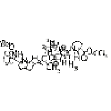 [2H]C([2H])([2H])C([2H])(C)[C@]([2H])(OC(=O)C(C)(C)/C=C/c1ccc2ccc([C@@H](C)NC(=O)OC(C)(C)C)nc2c1)C(=O)N[C@@H](C)C(=O)N1CCC[C@@H](C(=O)OCC(Cl)(Cl)Cl)N1